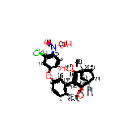 CCc1ccc(Oc2ccc([N+](=O)O)c(Cl)c2)cc1C1=C(O)[C@H]2CC[C@H](C2)C1=O